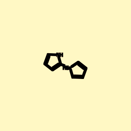 C1=C[SeH](c2ccc[nH]2)C=C1